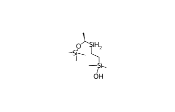 C[C@H](O[Si](C)(C)C)[SiH2]CC[Si](C)(C)O